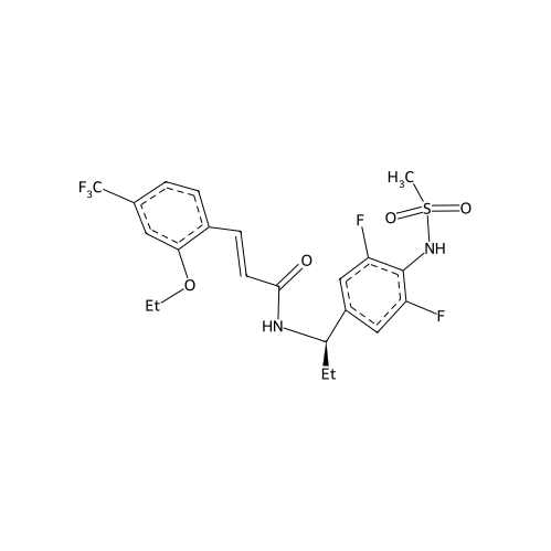 CCOc1cc(C(F)(F)F)ccc1/C=C/C(=O)N[C@H](CC)c1cc(F)c(NS(C)(=O)=O)c(F)c1